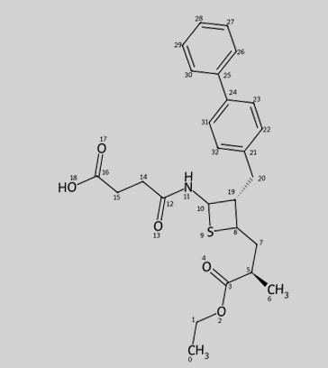 CCOC(=O)[C@H](C)CC1SC(NC(=O)CCC(=O)O)[C@@H]1Cc1ccc(-c2ccccc2)cc1